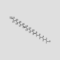 CCCCCCCCC=CCCCCC=CCCCCCCCC